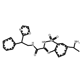 CC(N)c1ccc2c(c1)S(=O)(=O)NC(C(=O)NCC(c1ccccc1)c1ncco1)=N2